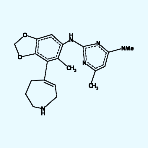 CNc1cc(C)nc(Nc2cc3c(c(C4=CCNCCC4)c2C)OCO3)n1